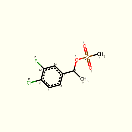 CC(OS(C)(=O)=O)c1ccc(Cl)c(F)c1